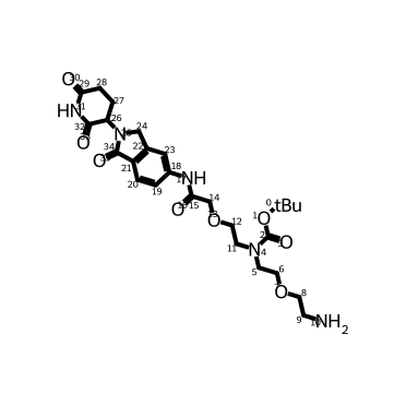 CC(C)(C)OC(=O)N(CCOCCN)CCOCC(=O)Nc1ccc2c(c1)CN(C1CCC(=O)NC1=O)C2=O